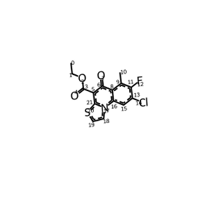 CCOC(=O)c1c(=O)c2c(C)c(F)c(Cl)cc2n2ccsc12